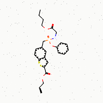 C=CCOC(=O)c1cc2cc(CP(=O)(N[C@@H](C)C(=O)OCCCC)Oc3ccccc3)ccc2s1